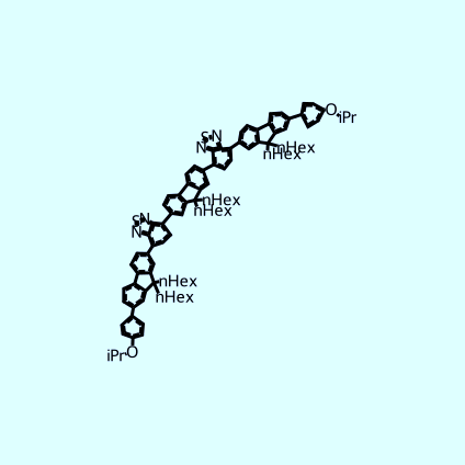 CCCCCCC1(CCCCCC)c2cc(-c3ccc(OC(C)C)cc3)ccc2-c2ccc(-c3ccc(-c4ccc5c(c4)C(CCCCCC)(CCCCCC)c4cc(-c6ccc(-c7ccc8c(c7)C(CCCCCC)(CCCCCC)c7cc(-c9ccc(OC(C)C)cc9)ccc7-8)c7nsnc67)ccc4-5)c4nsnc34)cc21